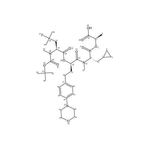 C[C@@H](OC(=O)[C@H](CC1CC1)N(C)C(=O)[C@@H](CCc1ccc(N2CCOCC2)cc1)OC(=O)[C@H](CC(C)(C)F)N(C)C(=O)OC(C)(C)C)C(=O)O